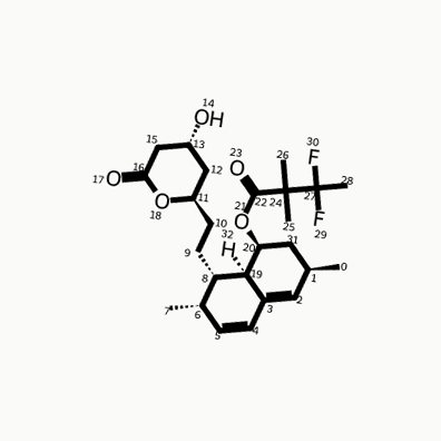 C[C@H]1C=C2C=C[C@H](C)[C@H](CC[C@@H]3C[C@@H](O)CC(=O)O3)[C@H]2[C@@H](OC(=O)C(C)(C)C(C)(F)F)C1